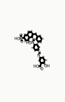 O=C(O)c1cc(N=Nc2ccc(N=Nc3c(Cc4ccccc4)ccc4cc(S(=O)(=O)O)cc(O)c34)cc2)ccc1O